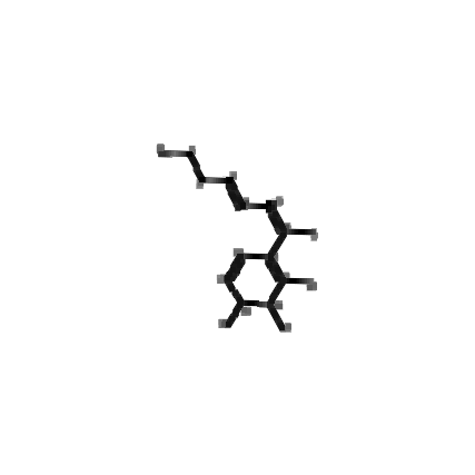 CCC/C=C/N=C(/C)C1=C(C)C(C)C(C)C=C1